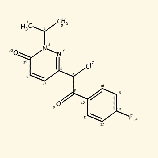 CC(C)n1nc(C(Cl)C(=O)c2ccc(F)cc2)ccc1=O